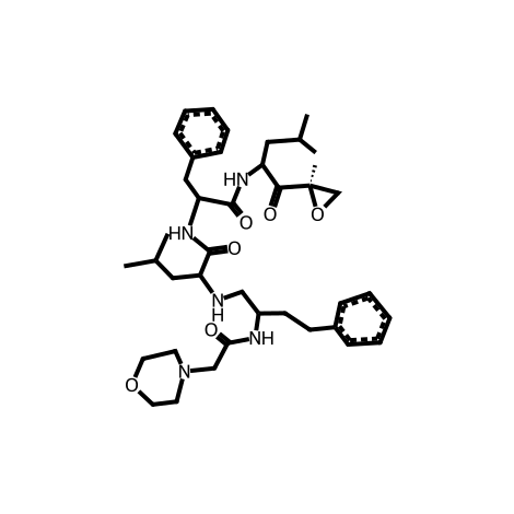 CC(C)CC(NCC(CCc1ccccc1)NC(=O)CN1CCOCC1)C(=O)NC(Cc1ccccc1)C(=O)NC(CC(C)C)C(=O)[C@@]1(C)CO1